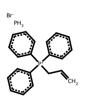 C=CC[P+](c1ccccc1)(c1ccccc1)c1ccccc1.P.[Br-]